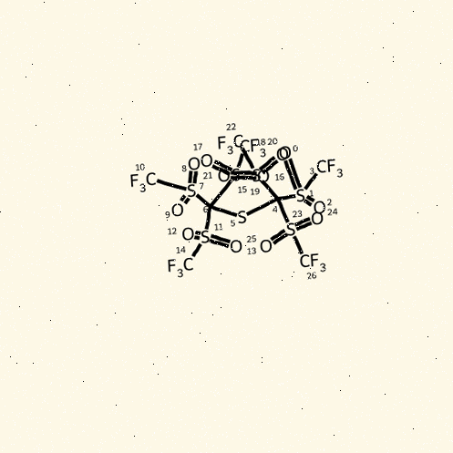 O=S(=O)(C(F)(F)F)C(SC(S(=O)(=O)C(F)(F)F)(S(=O)(=O)C(F)(F)F)S(=O)(=O)C(F)(F)F)(S(=O)(=O)C(F)(F)F)S(=O)(=O)C(F)(F)F